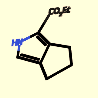 CCOC(=O)c1[nH]cc2c1CCC2